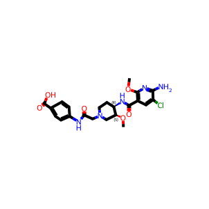 COc1nc(N)c(Cl)cc1C(=O)N[C@@H]1CCN(CC(=O)Nc2ccc(C(=O)O)cc2)C[C@@H]1OC